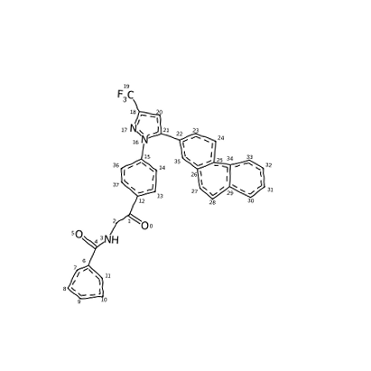 O=C(CNC(=O)c1ccccc1)c1ccc(-n2nc(C(F)(F)F)cc2-c2ccc3c(ccc4ccccc43)c2)cc1